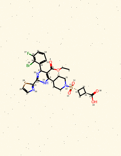 CCOC(=O)C1=C(C2CCN(S(=O)(=O)[C@H]3C[C@H](C(=O)O)C3)CC2)NC(c2nccs2)=NC1c1cccc(F)c1Br